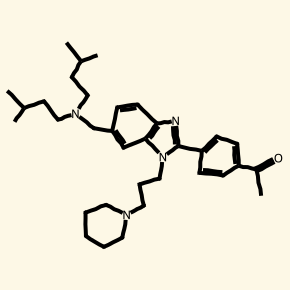 CC(=O)c1ccc(-c2nc3ccc(CN(CCC(C)C)CCC(C)C)cc3n2CCCN2CCCCC2)cc1